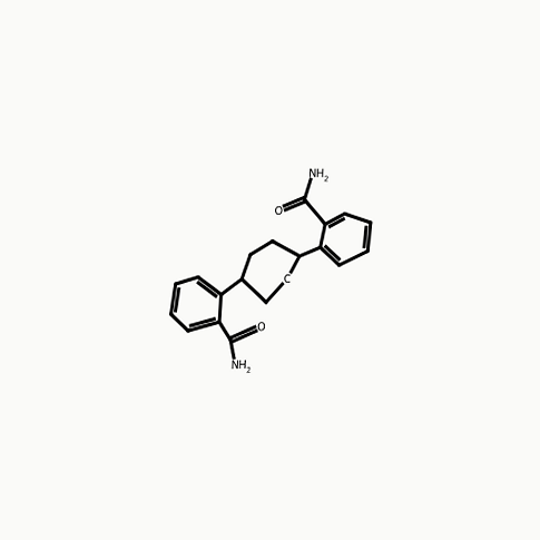 NC(=O)c1ccccc1C1CCC(c2ccccc2C(N)=O)CC1